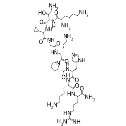 N=C(N)NCC/C=C(\NC(=O)[C@H](CCCCN)NC(=O)[C@H](Cc1cnc[nH]1)NC(=O)[C@@H]1CCCN1C(=O)[C@@H](CCCN)NC(=O)CNC(=O)[C@@H](NC(=O)[C@@H](NC(=O)[C@@H](N)CCCCN)[C@@H](O)CN)C1CC1)C(N)=O